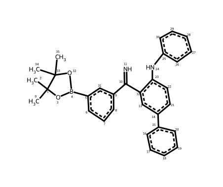 CC1(C)OB(c2cccc(C(=N)c3cc(-c4ccccc4)ccc3Nc3ccccc3)c2)OC1(C)C